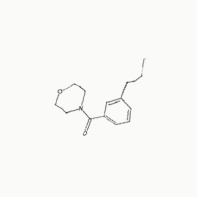 [CH2]CCc1cccc(C(=O)N2CCOCC2)c1